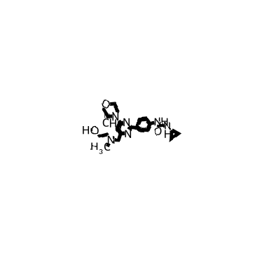 C[C@H]1COCCN1c1cc(CN(C)CCO)nc(-c2ccc(NC(=O)NC3CC3)cc2)n1